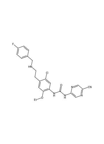 CCOc1cc(CCNCc2ccc(F)cc2)c(Cl)cc1NC(=O)Nc1cnc(C#N)cn1